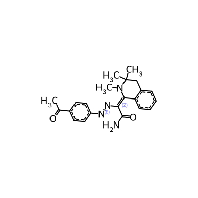 CC(=O)c1ccc(/N=N/C(C(N)=O)=C2/c3ccccc3CC(C)(C)N2C)cc1